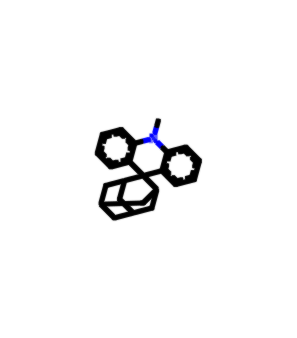 CN1c2ccccc2C2(c3ccccc31)C1CC3CC(C1)CC2C3